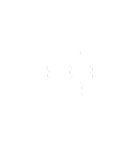 C[n+]1ccc(Cl)c2ccc(Cl)cc21.[I-]